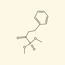 COP(=O)(OC)C(=O)CCc1ccccc1